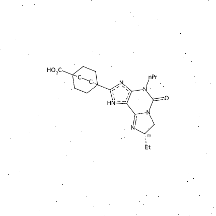 CCCN1C(=O)N2C[C@H](CC)N=C2c2[nH]c(C34CCC(C(=O)O)(CC3)CC4)nc21